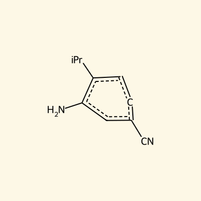 CC(C)c1ccc(C#N)cc1N